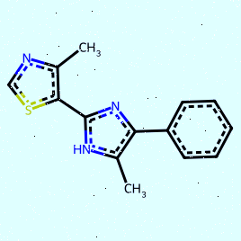 Cc1ncsc1-c1nc(-c2ccccc2)c(C)[nH]1